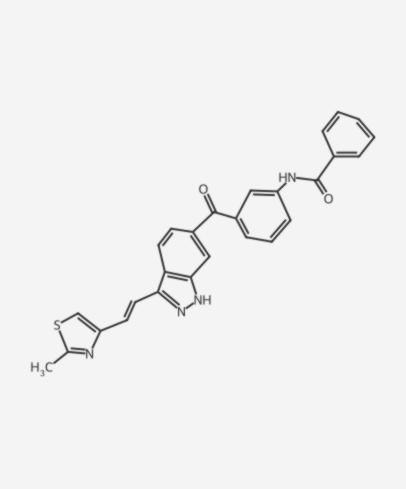 Cc1nc(/C=C/c2n[nH]c3cc(C(=O)c4cccc(NC(=O)c5ccccc5)c4)ccc23)cs1